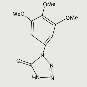 COc1cc(-n2nn[nH]c2=O)cc(OC)c1OC